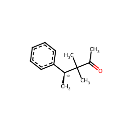 CC(=O)C(C)(C)[C@@H](C)c1ccccc1